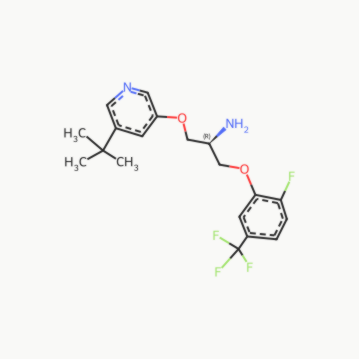 CC(C)(C)c1cncc(OC[C@@H](N)COc2cc(C(F)(F)F)ccc2F)c1